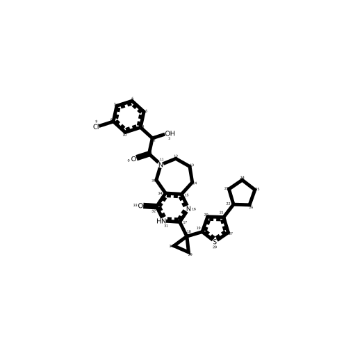 O=C(C(O)c1cccc(Cl)c1)N1CCCc2nc(C3(c4cc(C5CCCC5)cs4)CC3)[nH]c(=O)c2C1